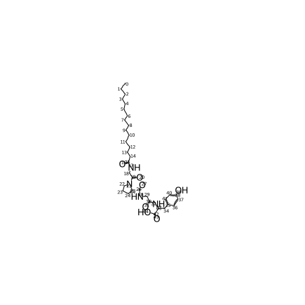 CCCCCCCCCCCCCCCC(=O)NCC(=O)N1CCC[C@H]1C(=O)NCC(=O)N[C@@H](Cc1ccc(O)cc1)C(=O)O